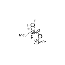 CCCN(CCC)C(=O)c1cc(C)cc(C(=O)NC(Cc2cc(F)cc(F)c2)C(O)C(O)CCSC)c1